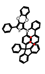 c1ccc(-c2ccccc2N(c2ccc(C3(c4ccccc4)c4ccccc4-c4ccccc43)cc2)c2sc(-c3ccccc3)c3c2Oc2ccccc2O3)cc1